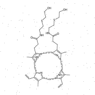 C=CC1=C(C)c2cc3[nH]c(cc4nc(cc5[nH]c(cc1n2)c(C)c5CCC(=O)NCCSCCO)C(CCC(=O)NCCSCCO)=C4C)c(C)c3C=C